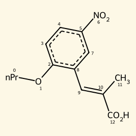 CCCOc1ccc([N+](=O)[O-])cc1C=C(C)C(=O)O